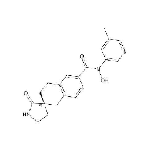 Cc1cncc(N(O)C(=O)c2ccc3c(c2)CC[C@]2(CCNC2=O)C3)c1